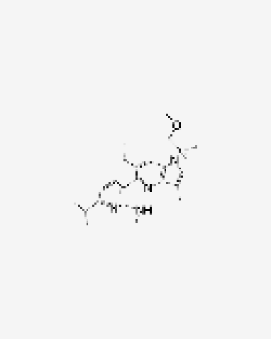 CCc1cc2c(nc1-c1ccc(C(C)C)nc1NC)c(C)cn2[C@@H](C)COC